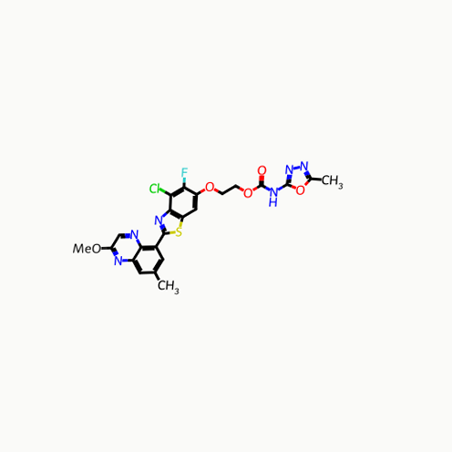 COc1cnc2c(-c3nc4c(Cl)c(F)c(OCCOC(=O)Nc5nnc(C)o5)cc4s3)cc(C)cc2n1